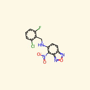 O=[N+]([O-])c1c(NCc2c(F)cccc2Cl)ccc2nonc12